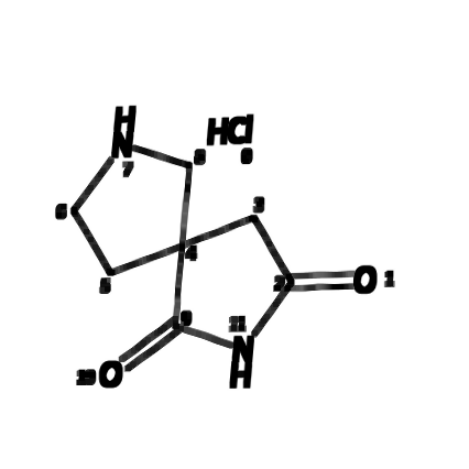 Cl.O=C1CC2(CCNC2)C(=O)N1